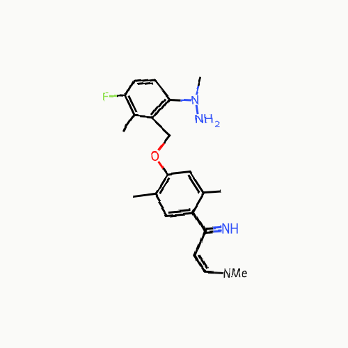 CN/C=C\C(=N)c1cc(C)c(OCc2c(N(C)N)ccc(F)c2C)cc1C